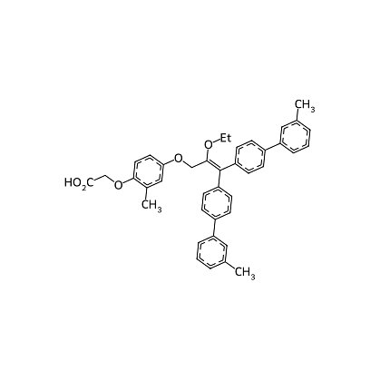 CCOC(COc1ccc(OCC(=O)O)c(C)c1)=C(c1ccc(-c2cccc(C)c2)cc1)c1ccc(-c2cccc(C)c2)cc1